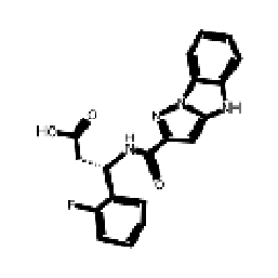 O=C(O)C[C@H](NC(=O)c1cc2[nH]c3ccccc3n2n1)c1ccccc1F